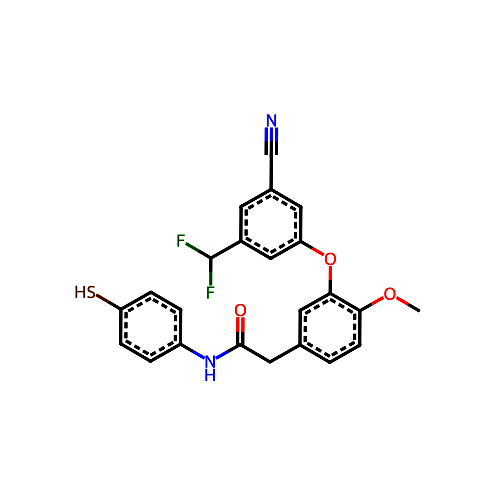 COc1ccc(CC(=O)Nc2ccc(S)cc2)cc1Oc1cc(C#N)cc(C(F)F)c1